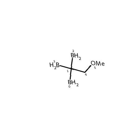 BC(B)(B)COC